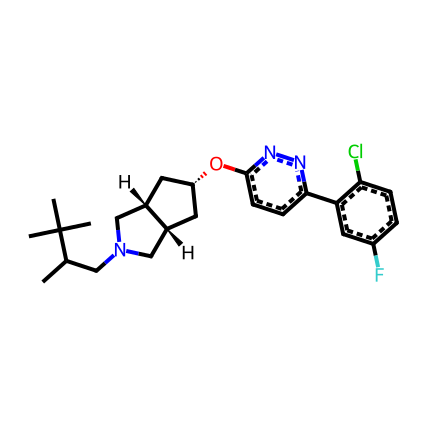 CC(CN1C[C@H]2C[C@@H](Oc3ccc(-c4cc(F)ccc4Cl)nn3)C[C@H]2C1)C(C)(C)C